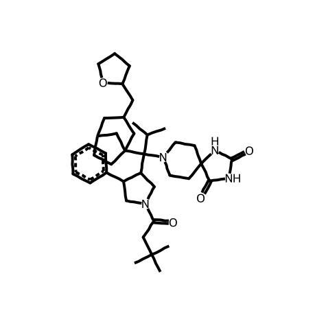 CC(C)C(C1CN(C(=O)CC(C)(C)C)CC1c1ccccc1)(N1CCC2(CC1)NC(=O)NC2=O)C12CCC(CC(CC3CCCO3)C1)C2